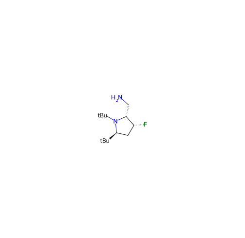 CC(C)(C)[C@@H]1C[C@@H](F)[C@@H](CN)N1C(C)(C)C